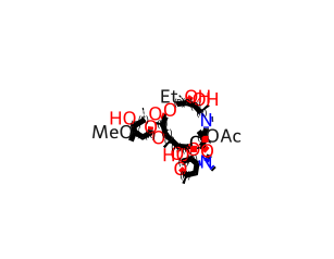 CC[C@H]1OC(=O)[C@H](C)[C@@H](O[C@H]2C[C@@](C)(OC)[C@@H](O)[C@H](C)O2)[C@H](C)[C@@H](O[C@@H]2O[C@H](C)CC(N(C)C)[C@H]2OC(=O)C(C)OC(C)=O)[C@](C)(O)C[C@@H](C)CN(C)[C@H](C)[C@@H](O)[C@]1(C)O